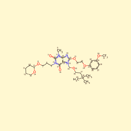 Cn1c(=O)n(CCCOC2CCCCO2)c(=O)c2c1nc(OCCOc1cccc(OC(F)(F)F)c1)n2COCC[Si](C)(C)C